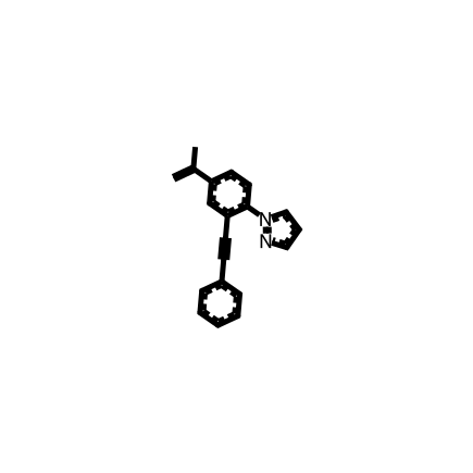 C=C(C)c1ccc(-n2cccn2)c(C#Cc2ccccc2)c1